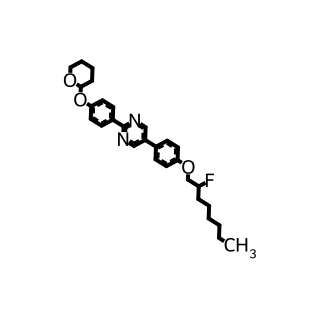 CCCCCCC(F)COc1ccc(-c2cnc(-c3ccc(OC4CCCCO4)cc3)nc2)cc1